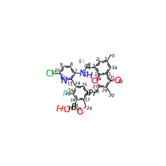 Cc1cc([C@@H](C)Nc2ccc(Cl)nc2-c2ccc3c(c2F)B(O)OC3)c2oc(C(C)C)c(C)c(=O)c2c1